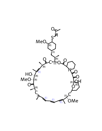 CO[C@H]1CC2CC[C@@H](C)[C@@](O)(O2)C(=O)C(=O)N2CCCCC2C(=O)O[C@H]([C@H](C)C[C@@H]2CCC(SC[PH](C)=O)[C@H](OC)C2)CC(=O)[C@H](C)/C=C(\C)[C@@H](O)[C@@H](OC)C(=O)[C@H](C)C[C@H](C)/C=C/C=C/C=C/1C